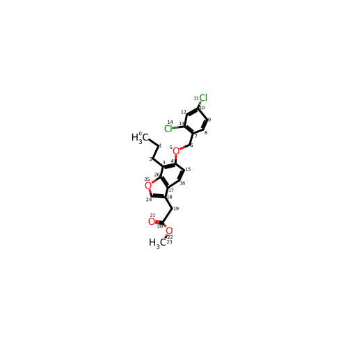 CCCc1c(OCc2ccc(Cl)cc2Cl)ccc2c(CC(=O)OC)coc12